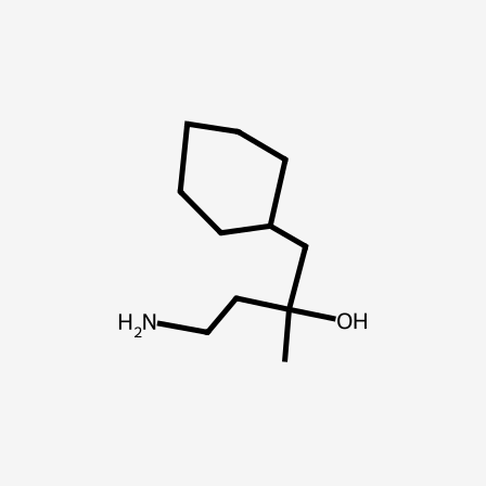 CC(O)(CCN)CC1CCCCC1